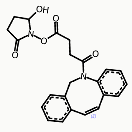 O=C(CCC(=O)N1Cc2ccccc2/C=C\c2ccccc21)ON1C(=O)CCC1O